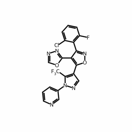 Fc1cccc(Cl)c1-c1noc(-c2cnn(-c3cccnc3)c2C(F)(F)F)c1-c1nnco1